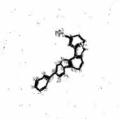 CCCc1cc[n+]2c(c1)-c1c(ccc3c1SC1C=C(c4ccccc4)C=CC31)C2